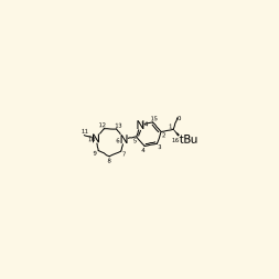 C[C@H](c1ccc(N2CCCN(C)CC2)nc1)C(C)(C)C